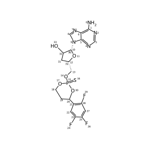 Nc1ncnc2c1ncn2[C@@H]1O[C@H](COP2(=S)OCCC(c3cc(F)c(F)cc3F)O2)CC1O